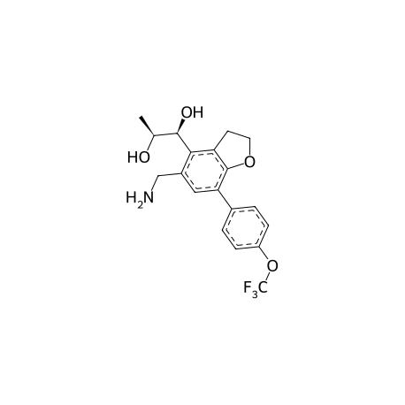 C[C@H](O)[C@@H](O)c1c(CN)cc(-c2ccc(OC(F)(F)F)cc2)c2c1CCO2